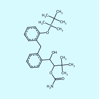 CC(C)(C)C(OC(N)=O)C(O)c1ccccc1Cc1ccccc1O[Si](C)(C)C(C)(C)C